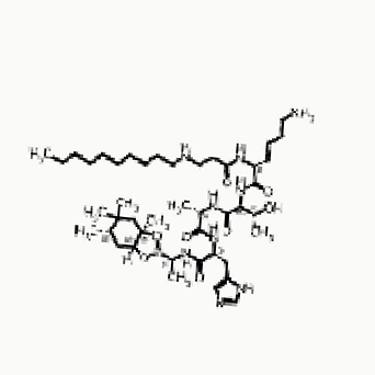 CCCCCCCCCCNCCC(=O)N[C@@H](CCCCN)C(=O)N[C@H](C(=O)N[C@@H](C)C(=O)N[C@@H](Cc1cnc[nH]1)C(=O)N[C@@H](C)B1O[C@@H]2C[C@H](C)C(C)(C)C[C@]2(C)O1)[C@@H](C)O